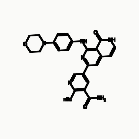 CCCCc1ncc(-c2cc3cc[nH]c(=O)c3c(Nc3ccc(N4CCOCC4)cc3)n2)cc1C(N)=O